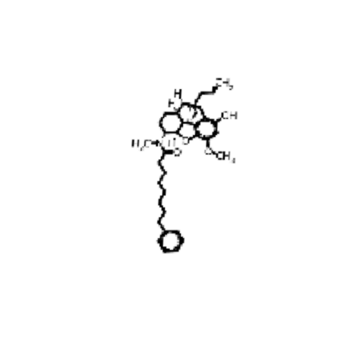 C=CCN1CC[C@]23c4c5c(O)cc(OC)c4O[C@H]2[C@H](N(C)C(=O)CCCCCCCc2ccccc2)CC[C@H]3[C@H]1C5